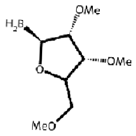 B[C@@H]1OC(COC)[C@@H](OC)[C@H]1OC